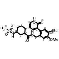 COc1cc(CNC(=O)C2CCCC(NS(C)(=O)=O)C2)c(-c2ccc[nH]c2=O)cc1C(C)(C)C